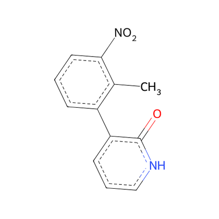 Cc1c(-c2ccc[nH]c2=O)cccc1[N+](=O)[O-]